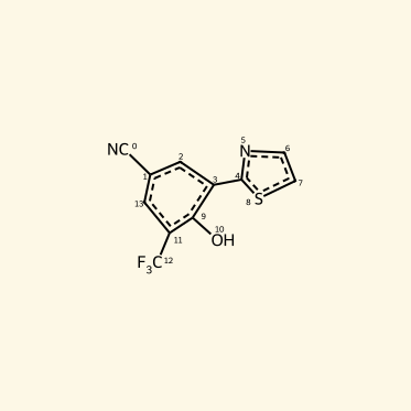 N#Cc1cc(-c2nccs2)c(O)c(C(F)(F)F)c1